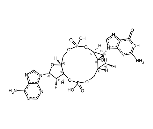 CC[C@H]1[C@@H]2COP(=O)(O)O[C@H]3[C@@H](F)[C@H](n4cnc5c(N)ncnc54)O[C@@H]3COP(=O)(O)O[C@H]([C@@H]2O)[C@@H]1n1cnc2c(=O)[nH]c(N)nc21